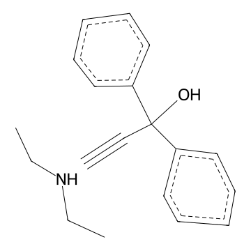 C#CC(O)(c1ccccc1)c1ccccc1.CCNCC